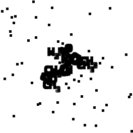 CN1CC[C@@](C)(C#Cc2ccnc(-n3nc(C(N)=O)c4c3CC(C)(C)CC4)c2)C1=O